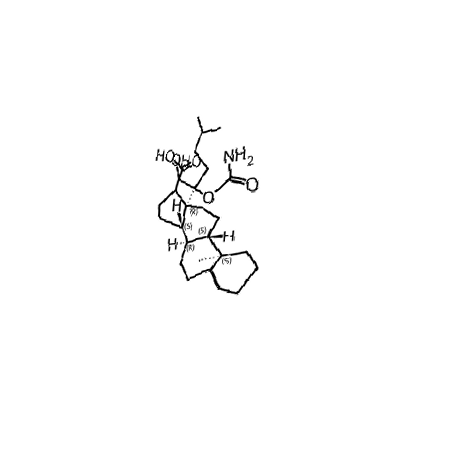 CC(C)CCC(CO)(OC(N)=O)[C@]12CC[C@H]3[C@@H](CCC4CCCC[C@@]43C)[C@@H]1CCC2C(=O)O